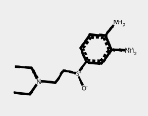 CCN(CC)CC[S+]([O-])c1ccc(N)c(N)c1